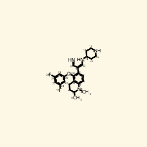 CC1CCc2c(ccc(/C(C=N)=C/NC3CCNCC3)c2Oc2cc(F)cc(F)c2)N1C